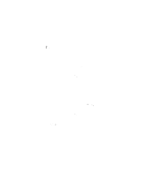 COc1ccc2c3c(cnc2n1)COC(=O)N3CC1CCNCC1